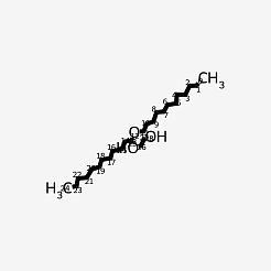 CCCCCCCCCCCCOCCCCCCCCCCCC.OCCO